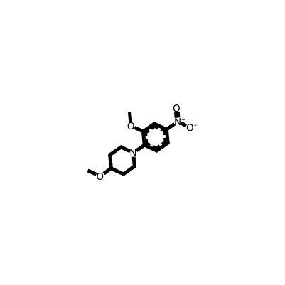 COc1cc([N+](=O)[O-])ccc1N1CCC(OC)CC1